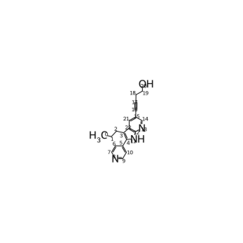 CCCc1c(-c2ccncc2)[nH]c2ncc(C#CCCO)cc12